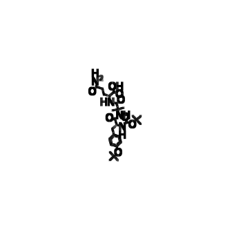 CC(C)(C)OC(=O)N[C@@H](Cc1ccc(OC(C)(C)C)cc1)C(=O)NC(C)(C)C(=O)N[C@@H](CCC(N)=O)C(=O)O